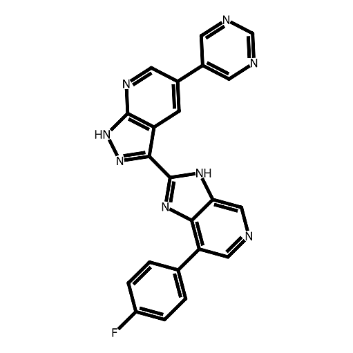 Fc1ccc(-c2cncc3[nH]c(-c4n[nH]c5ncc(-c6cncnc6)cc45)nc23)cc1